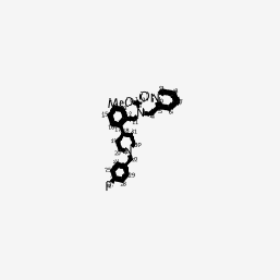 COC(=O)N(Cc1ccccn1)Cc1ccccc1C1CCN(Cc2ccc(F)cc2)CC1